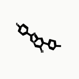 CCc1cn2cc(-c3ccc(F)cc3)nc2cc1-c1ccc(C)cc1